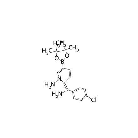 CC1(C)OB(C2=CN(N)/C(=C(\N)c3ccc(Cl)cc3)C=C2)OC1(C)C